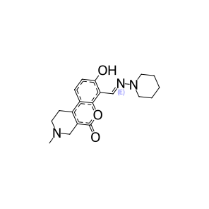 CN1CCc2c(c(=O)oc3c(/C=N/N4CCCCC4)c(O)ccc23)C1